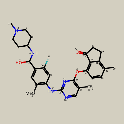 COc1cc(C(O)NC2CCN(C)CC2)c(F)cc1Nc1ncc(C(F)(F)F)c(Oc2ccc(C)c3c2C(=O)CC3)n1